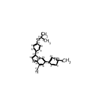 Cc1ccc(-c2cc(C#N)c3ncc(-c4ccc(SC(C)C)cc4)n3c2)cn1